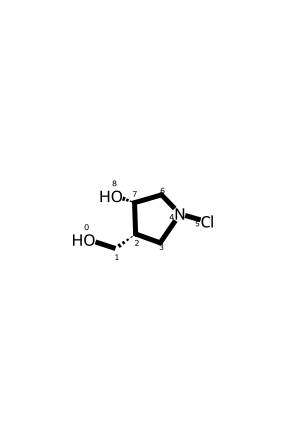 OC[C@H]1CN(Cl)C[C@H]1O